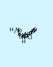 NC(=O)C[C@H]1C[C@H](Oc2nc3nc(-c4ccc(N5CCOCC5)cc4)c(Cl)cc3[nH]2)C1